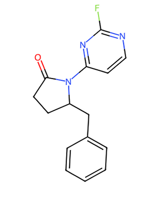 O=C1CCC(Cc2ccccc2)N1c1ccnc(F)n1